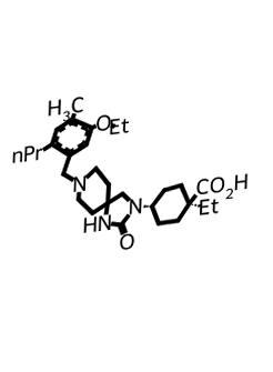 CCCc1cc(C)c(OCC)cc1CN1CCC2(CC1)CN([C@H]1CC[C@](CC)(C(=O)O)CC1)C(=O)N2